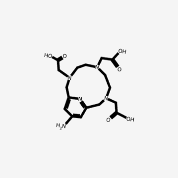 Nc1cc2nc(c1)CN(CC(=O)O)CCN(CC(=O)O)CCN(CC(=O)O)C2